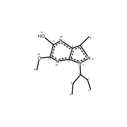 CCC(CC)n1nc(C)c2nc(O)c(OC)nc21